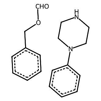 O=COCc1ccccc1.c1ccc(N2CCNCC2)cc1